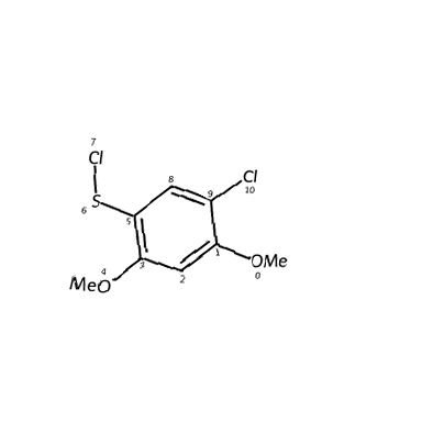 COc1cc(OC)c(SCl)cc1Cl